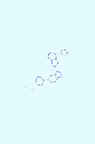 Cc1ccc(-c2nccc3[nH]c(-c4n[nH]c5ccc(-c6cncc(OC7CCCCC7)c6)cc45)cc23)s1